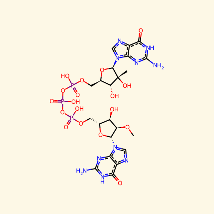 CO[C@@H]1[C@H](O)[C@@H](COP(=O)(O)OP(=O)(O)OP(=O)(O)OC[C@H]2O[C@@H](n3cnc4c(=O)[nH]c(N)nc43)[C@](C)(O)[C@@H]2O)O[C@H]1n1cnc2c(=O)[nH]c(N)nc21